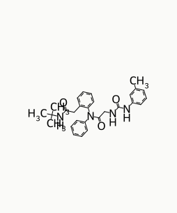 Cc1cccc(NC(=O)NCC(=O)N(c2ccccc2)c2ccccc2CC(=O)NC(C)(C)C)c1